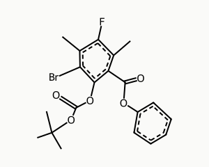 Cc1c(F)c(C)c(C(=O)Oc2ccccc2)c(OC(=O)OC(C)(C)C)c1Br